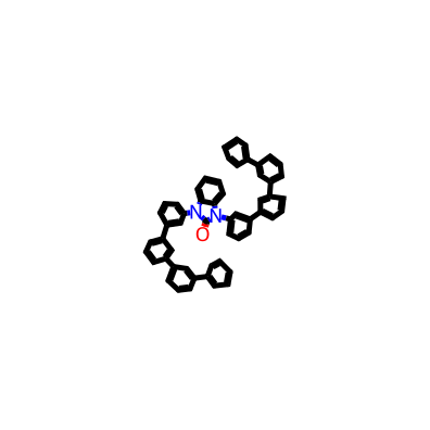 O=c1n(-c2cccc(-c3cccc(-c4cccc(-c5ccccc5)c4)c3)c2)c2ccccc2n1-c1cccc(-c2cccc(-c3cccc(-c4ccccc4)c3)c2)c1